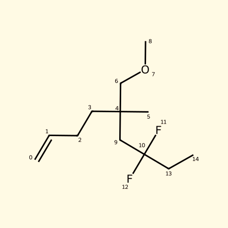 C=CCCC(C)(COC)CC(F)(F)CC